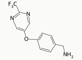 NCc1ccc(Oc2cnc(C(F)(F)F)nc2)cc1